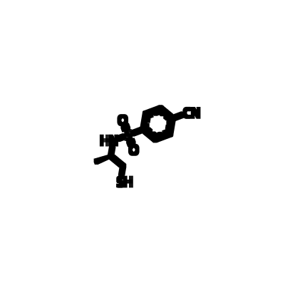 C[C@H](CS)NS(=O)(=O)c1ccc(C#N)cc1